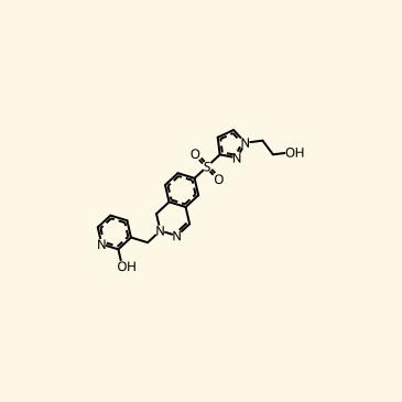 O=S(=O)(c1ccc2c(c1)C=NN(Cc1cccnc1O)C2)c1ccn(CCO)n1